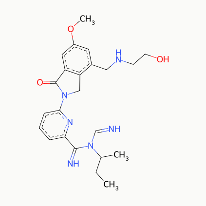 CCC(C)N(C=N)C(=N)c1cccc(N2Cc3c(CNCCO)cc(OC)cc3C2=O)n1